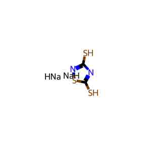 Sc1nsc(S)n1.[NaH].[NaH]